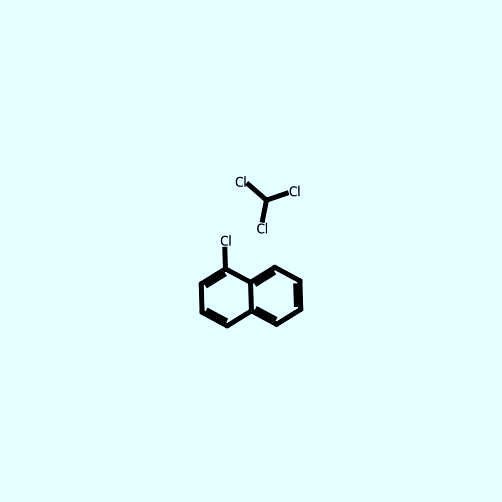 ClC(Cl)Cl.Clc1cccc2ccccc12